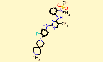 CN1CCC2(CC1)CCN(c1ccc(Nc3ncc(C(F)(F)F)c(Nc4ccccc4N(C)S(C)(=O)=O)n3)cc1F)CC2